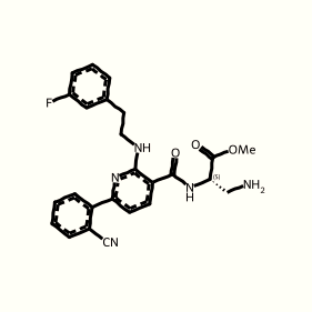 COC(=O)[C@H](CN)NC(=O)c1ccc(-c2ccccc2C#N)nc1NCCc1cccc(F)c1